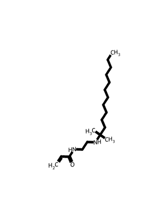 C=CC(=O)NCCNC(C)(C)CCCCCCCCCCC